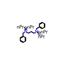 CCCB(CCC)N(CCCN(Cc1ccccc1)B(CCC)CCC)Cc1ccccc1